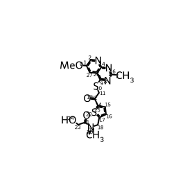 COc1cnc2nc(C)nc(SCC(=O)c3ccc(CN(C)C(=O)CO)s3)c2c1